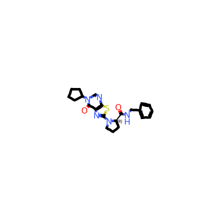 O=C(NCc1ccccc1)[C@H]1CCCN1c1nc2c(=O)n(C3CCCC3)cnc2s1